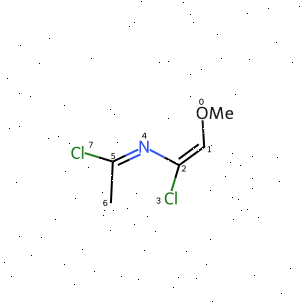 CO/C=C(Cl)\N=C(/C)Cl